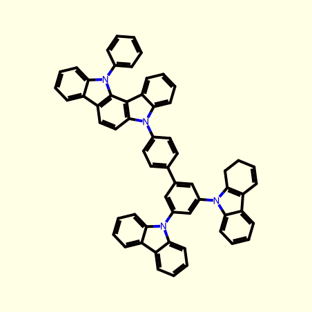 C1=Cc2c(n(-c3cc(-c4ccc(-n5c6ccccc6c6c5ccc5c7ccccc7n(-c7ccccc7)c56)cc4)cc(-n4c5ccccc5c5ccccc54)c3)c3ccccc23)CC1